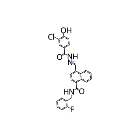 O=C(N/N=C/c1ccc(C(=O)NCc2ccccc2F)c2ccccc12)c1ccc(O)c(Cl)c1